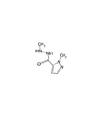 CNNC(=O)c1ccnn1C